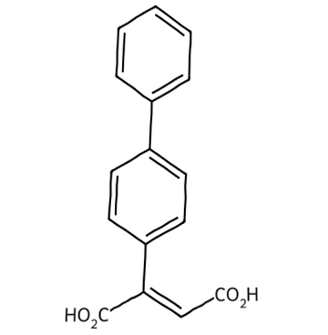 O=C(O)/C=C(/C(=O)O)c1ccc(-c2ccccc2)cc1